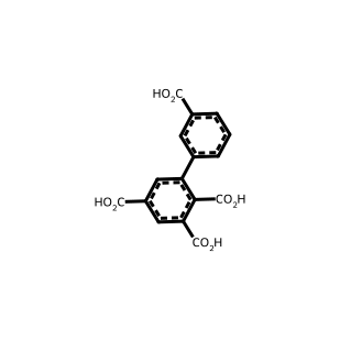 O=C(O)c1cccc(-c2cc(C(=O)O)cc(C(=O)O)c2C(=O)O)c1